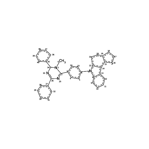 CN1C(c2ccc(-n3c4ccccc4c4c5sccc5ccc43)cc2)=NC(c2ccccc2)=NC1c1ccccc1